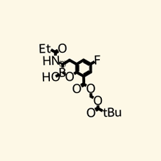 CCC(=O)N[C@H]1Cc2cc(F)cc(C(=O)OCOC(=O)C(C)(C)C)c2OB1O